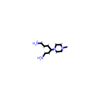 CN1CCN(C(CCN)CCCN)CC1